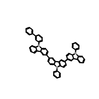 C1=CC2C(C=C1c1ccc3c(c1)c1cc(-c4ccc5c(c4)c4ccccc4n5-c4cccc(-c5ccccc5)c4)ccc1n3-c1ccccc1)c1ccccc1N2c1ccccc1